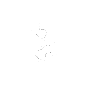 Cc1cc(N2c3cccc(C#N)c3N(C)[C@@H]2C)cc(C)c1C